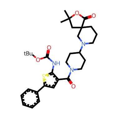 CC(C)(C)OC(=O)Nc1sc(-c2ccccc2)cc1C(=O)N1CCC(N2CCCC3(C2)CC(C)(C)OC3=O)CC1